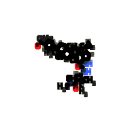 COC(=O)c1ccc(C2=CC[C@]3(C)C4CC[C@@H]5C6[C@H](C7(C)CC7)CC[C@]6(NC(=O)N[C@@H]6C[C@H](C(=O)N(C)C)C6(C)C)CC[C@@]5(C)[C@]4(C)CC[C@H]3C2(C)C)cc1